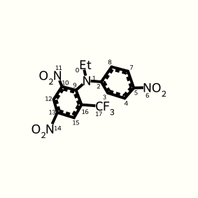 CCN(c1ccc([N+](=O)[O-])cc1)c1c([N+](=O)[O-])cc([N+](=O)[O-])cc1C(F)(F)F